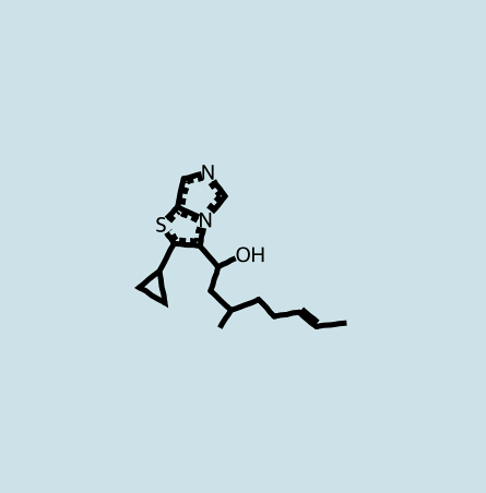 CC=CCCC(C)CC(O)c1c(C2CC2)sc2cncn12